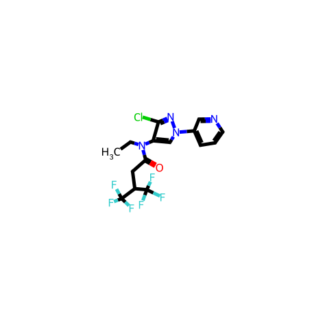 CCN(C(=O)CC(C(F)(F)F)C(F)(F)F)c1cn(-c2cccnc2)nc1Cl